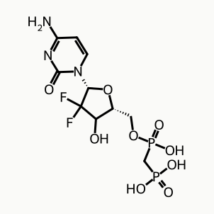 Nc1ccn([C@@H]2O[C@H](COP(=O)(O)CP(=O)(O)O)C(O)C2(F)F)c(=O)n1